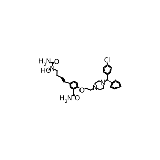 NC(=O)c1cc(C#CCCN(O)C(N)=O)ccc1OCCN1CCN([C@H](c2ccccc2)c2ccc(Cl)cc2)CC1